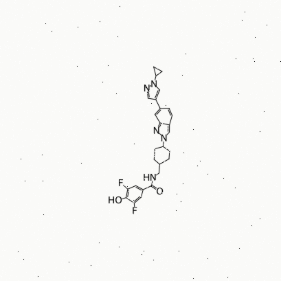 O=C(NCC1CCC(n2cc3ccc(-c4cnn(C5CC5)c4)cc3n2)CC1)c1cc(F)c(O)c(F)c1